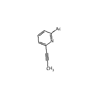 CC#Cc1cccc(C(C)=O)n1